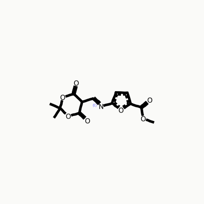 COC(=O)c1ccc(/N=C/C2C(=O)OC(C)(C)OC2=O)o1